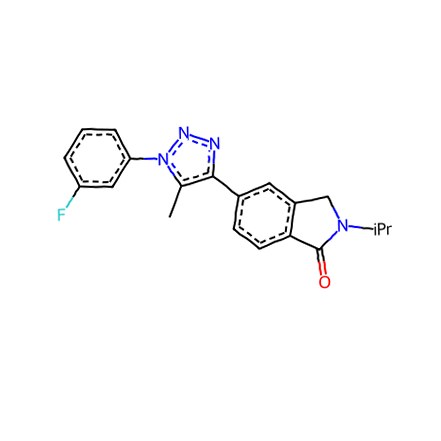 Cc1c(-c2ccc3c(c2)CN(C(C)C)C3=O)nnn1-c1cccc(F)c1